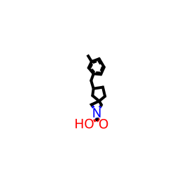 Cc1cccc(CC2CCC3(C2)CN(C(=O)O)C3)c1